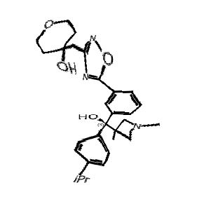 CC(C)c1ccc([C@](O)(c2cccc(-c3nc(C4(O)CCOCC4)no3)c2)C2(C)CN(C)C2)cc1